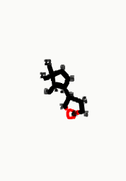 CC1=C(C2CCOC2)CCC1(C)C